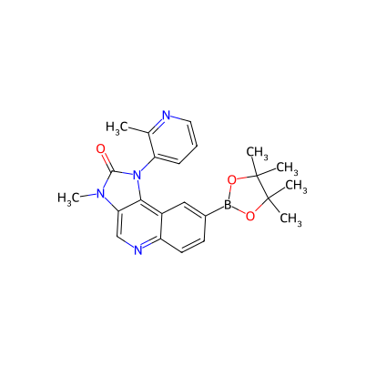 Cc1ncccc1-n1c(=O)n(C)c2cnc3ccc(B4OC(C)(C)C(C)(C)O4)cc3c21